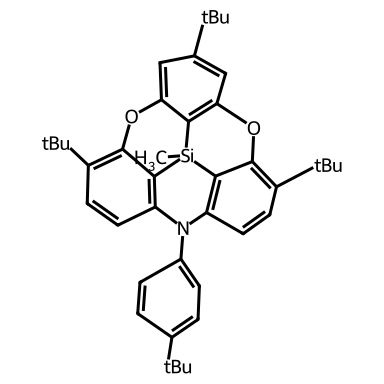 CC(C)(C)c1ccc(N2c3ccc(C(C)(C)C)c4c3[Si]3(C)c5c(cc(C(C)(C)C)cc5Oc5c(C(C)(C)C)ccc2c53)O4)cc1